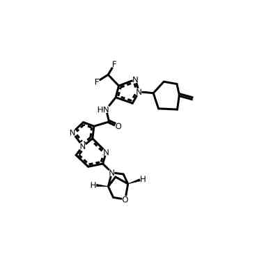 C=C1CCC(n2cc(NC(=O)c3cnn4ccc(N5C[C@H]6C[C@@H]5CO6)nc34)c(C(F)F)n2)CC1